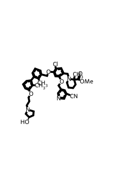 COC(=O)C1(C)CCCCN1Cc1cc(Cl)c(OCc2cccc(-c3cccc(OCCCN4CC[C@@H](O)C4)c3C)c2C)cc1OCc1cncc(C#N)c1